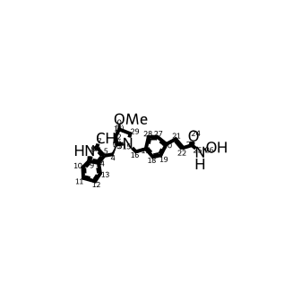 CO[C@@H]1C[C@H](Cc2c(C)[nH]c3ccccc23)N(Cc2ccc(C=CC(=O)NO)cc2)C1